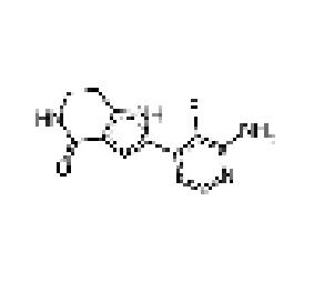 Nc1nccc(-c2cc3c([nH]2)CCNC3=O)c1F